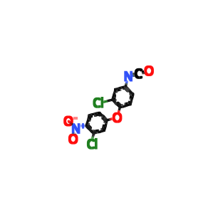 O=C=Nc1ccc(Oc2ccc([N+](=O)[O-])c(Cl)c2)c(Cl)c1